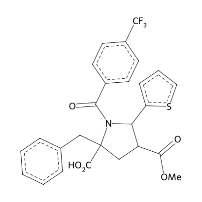 COC(=O)C1CC(Cc2ccccc2)(C(=O)O)N(C(=O)c2ccc(C(F)(F)F)cc2)C1c1cccs1